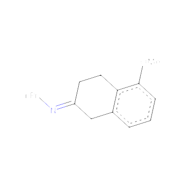 CCC/N=C1\CCc2c(cccc2OC)C1